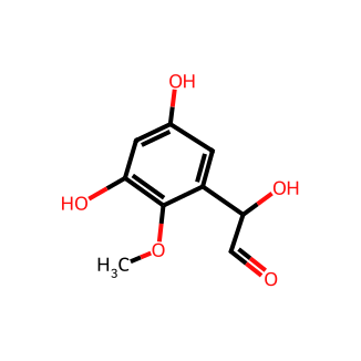 COc1c(O)cc(O)cc1C(O)C=O